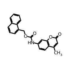 Cc1cc(=O)oc2cc(NC(=O)OCc3cccc4ccccc34)ccc12